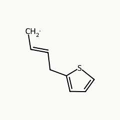 [CH2]C=CCc1cccs1